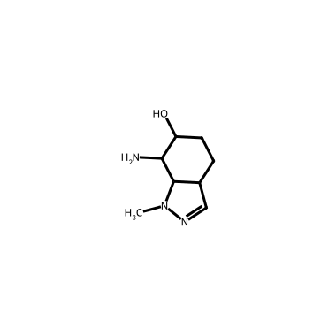 CN1N=CC2CCC(O)C(N)C21